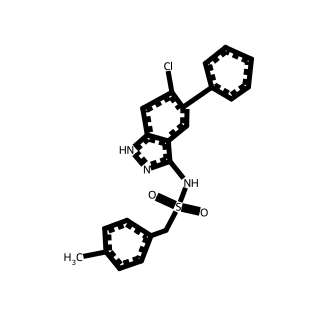 Cc1ccc(CS(=O)(=O)Nc2n[nH]c3cc(Cl)c(-c4ccccc4)cc23)cc1